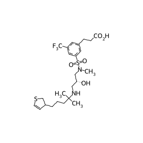 CN(C[C@H](O)CNC(C)(C)CCCC1C=CSC1)S(=O)(=O)c1cc(CCC(=O)O)cc(C(F)(F)F)c1